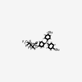 CC(C)(C)c1ccc([S+](c2ccc(OS(=O)(=O)C(F)(F)C(F)(F)C(F)(F)C(F)(F)F)cc2)c2ccc(C(C)(C)C)cc2)cc1